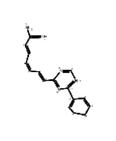 N=C(N)/C=C/C=C\C=C\c1ncnc(C2=CCCC=C2)n1